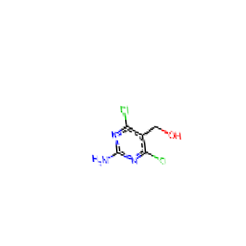 Nc1nc(Cl)c(CO)c(Cl)n1